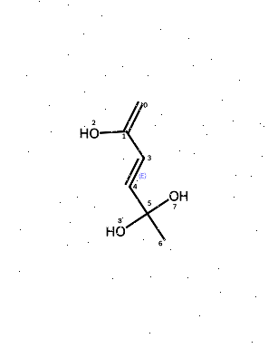 C=C(O)/C=C/C(C)(O)O